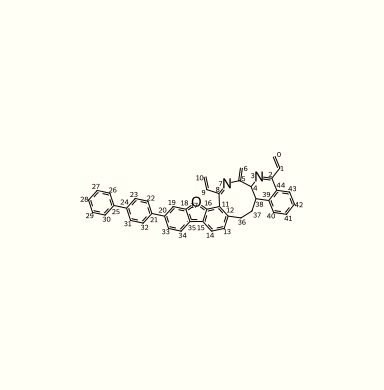 C=CC1=NC2C(=C)/N=C(/C=C)c3c(ccc4c3oc3cc(-c5ccc(-c6ccccc6)cc5)ccc34)CCC2c2ccccc21